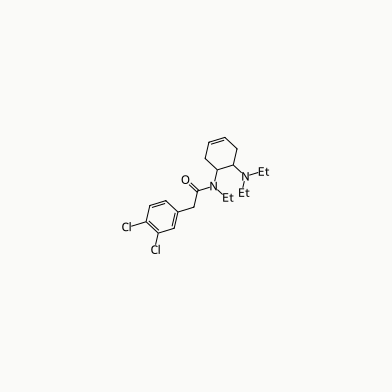 CCN(CC)C1CC=CCC1N(CC)C(=O)Cc1ccc(Cl)c(Cl)c1